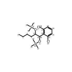 CCCCC(O[Si](C)(C)C)[C@H](O[Si](C)(C)C)c1c(Cl)cccc1Cl